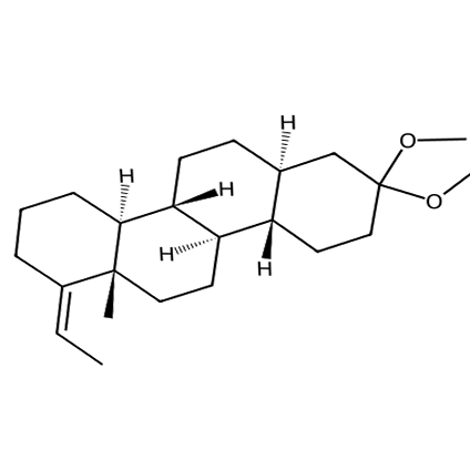 C/C=C1/CCC[C@H]2[C@@H]3CC[C@H]4CC(OC)(OC)CC[C@@H]4[C@H]3CC[C@]12C